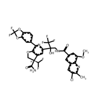 COc1cc(C(=O)NCC(O)(c2cc3c(c(-c4ccc5c(c4)OC(F)(F)O5)n2)OC[C@]3(C(N)=O)C(F)F)C(F)(F)F)cc2cc(Cl)c(C)nc12